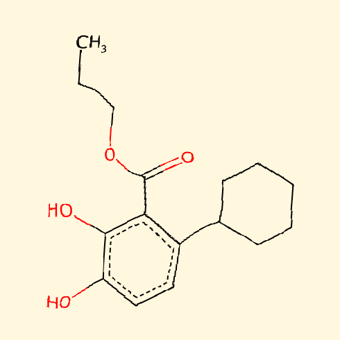 CCCOC(=O)c1c(C2CCCCC2)ccc(O)c1O